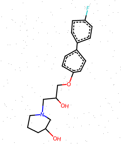 OC1CCCN(CC(O)COc2ccc(-c3ccc(F)cc3)cc2)C1